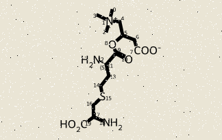 C[N+](C)(C)CC(CC(=O)[O-])OC(=O)[C@@H](N)CCSCC(N)C(=O)O